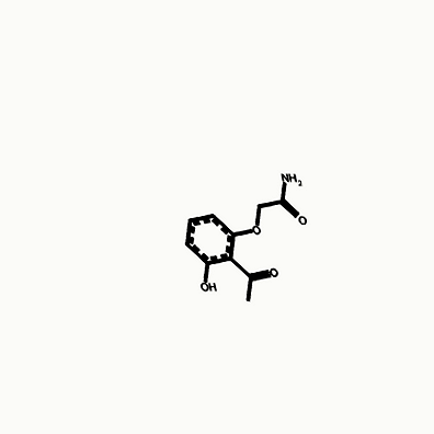 CC(=O)c1c(O)cccc1OCC(N)=O